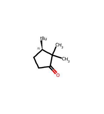 CC(C)(C)[C@@H]1CCC(=O)C1(C)C